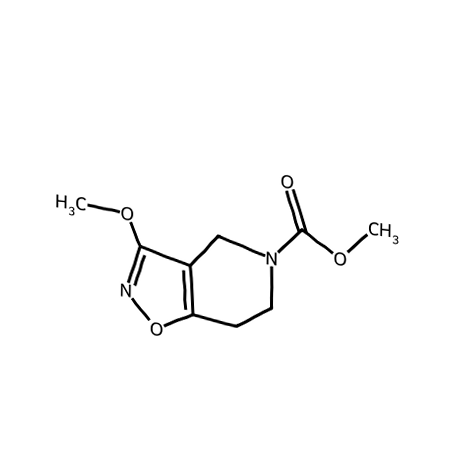 COC(=O)N1CCc2onc(OC)c2C1